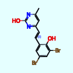 Cc1cc(/C=C/c2cc(Br)cc(Br)c2O)nc(O)n1